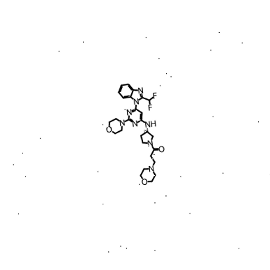 O=C(CCN1CCOCC1)N1CC[C@H](Nc2cc(-n3c(C(F)F)nc4ccccc43)nc(N3CCOCC3)n2)C1